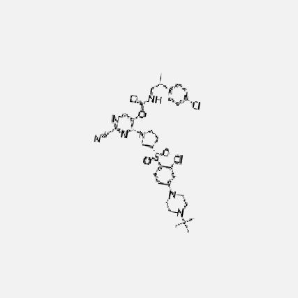 CC(CNC(=O)Oc1cnc(C#N)nc1N1CC[C@H](S(=O)(=O)c2ccc(N3CCN(C(C)(C)C)CC3)cc2Cl)C1)c1ccc(Cl)cc1